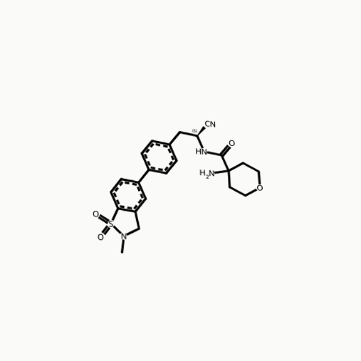 CN1Cc2cc(-c3ccc(C[C@@H](C#N)NC(=O)C4(N)CCOCC4)cc3)ccc2S1(=O)=O